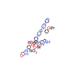 CC(C)Oc1ccccc1[C@H]1CN(c2ccncc2)CCN1C1CC2(CCN(c3ccc(C(=O)NS(=O)(=O)c4ccc(NCC5CCOCC5)c([N+](=O)[O-])c4)c(N4c5cc6cc[nH]c6nc5O[C@H]5COCC[C@@H]54)c3)CC2)C1